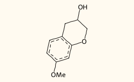 COc1ccc2c(c1)OCC(O)C2